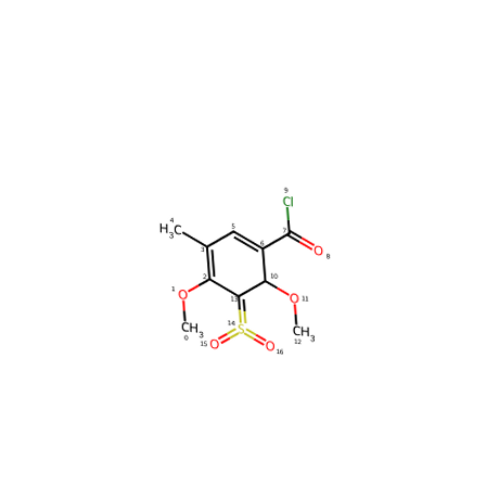 COC1=C(C)C=C(C(=O)Cl)C(OC)C1=S(=O)=O